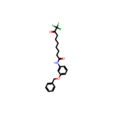 O=C(CCCCCCC(=O)C(F)(F)F)Nc1cccc(OCc2ccccc2)c1